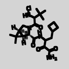 CC(C)(C)C(NCl)C(=O)N1C[C@H]2[C@@H]([C@H]1C(=O)NC(CC1CCC1)C(=O)C(N)=O)C2(C)C